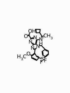 COc1ccc2cc1-c1nc3nc(C(=O)O)nc(N[C@H](C)C4CCC4)c3n1Cc1ccc(cc1)S2(F)F